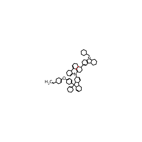 C=CC1CC=C(OC2=CC=C(C3(C4=CCCCC4)C4C=CCCC4C4C=CC(N(C5=CCC(C6=CC7=C(CC6)N(CC6CCCCC6)C6CCCCC76)CC5)C5=CCCCC5C5=CCCCC5)CC43)CC2)CC1